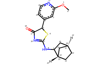 COc1cc(C2SC(NC3C[C@H]4CC[C@H]3C4)=NC2=O)ccn1